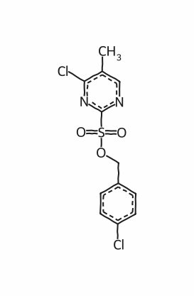 Cc1cnc(S(=O)(=O)OCc2ccc(Cl)cc2)nc1Cl